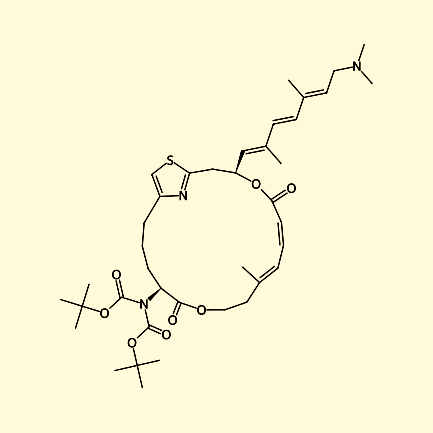 CC(/C=C/C(C)=C/[C@@H]1Cc2nc(cs2)CCC[C@H](N(C(=O)OC(C)(C)C)C(=O)OC(C)(C)C)C(=O)OCC/C(C)=C/C=C\C(=O)O1)=C\CN(C)C